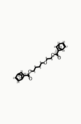 O=C(OCCCCOCCOC(=O)C1CC2C=CC1C2)C1CC2C=CC1C2